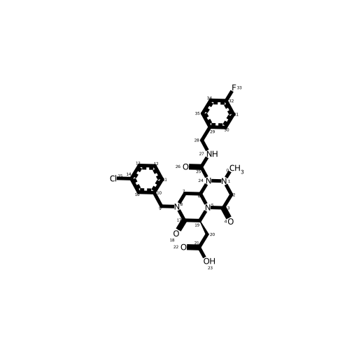 CN1CC(=O)N2C(CN(Cc3cccc(Cl)c3)C(=O)[C@@H]2CC(=O)O)N1C(=O)NCc1ccc(F)cc1